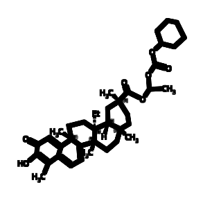 CC[C@@]12CC[C@@]3(C)C4=CC(=O)C(O)=C(C)C4=CC=C3[C@@]1(C)CC[C@@]1(C)CC[C@@](C)(C(=O)OC(C)OC(=O)OC3CCCCC3)C[C@H]12